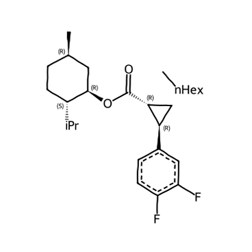 CC(C)[C@@H]1CC[C@@H](C)C[C@H]1OC(=O)[C@@H]1C[C@H]1c1ccc(F)c(F)c1.CCCCCCC